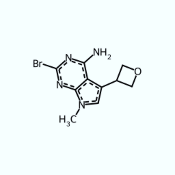 Cn1cc(C2COC2)c2c(N)nc(Br)nc21